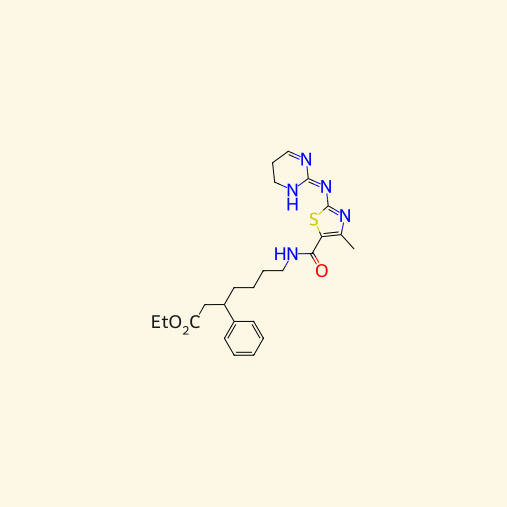 CCOC(=O)CC(CCCCNC(=O)c1sc(N=C2N=CCCN2)nc1C)c1ccccc1